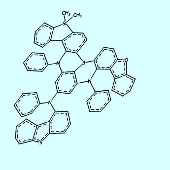 C[Si]1(C)c2ccccc2-c2c1ccc1c2N(c2ccccc2)c2cc(N(c3ccccc3)c3cccc4sc5ccccc5c34)cc3c2B1c1ccc2oc4ccccc4c2c1N3c1ccccc1